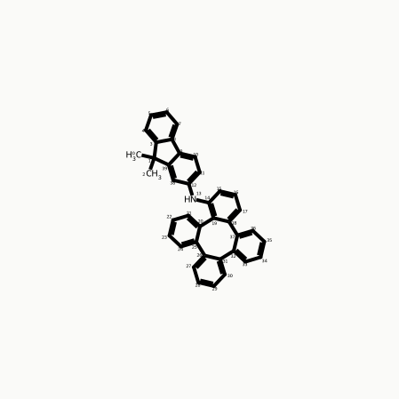 CC1(C)c2ccccc2-c2ccc(Nc3cccc4c3-c3ccccc3-c3ccccc3-c3ccccc3-4)cc21